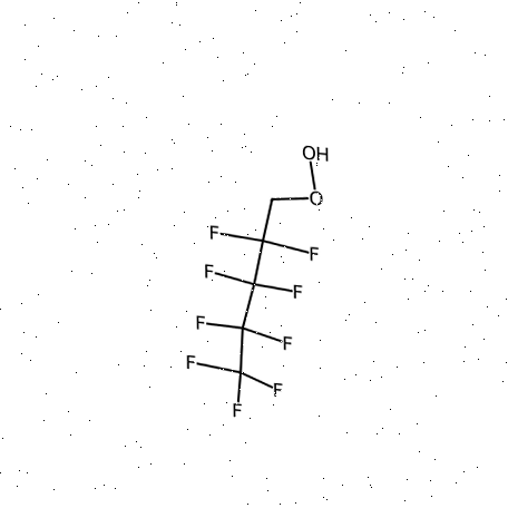 OOCC(F)(F)C(F)(F)C(F)(F)C(F)(F)F